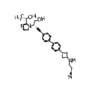 C[C@H](O)c1nccn1[C@@H](C#Cc1ccc(-c2ccc(C3CC(NCCC#N)C3)cc2)cc1)CO